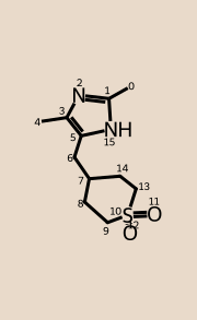 Cc1nc(C)c(CC2CCS(=O)(=O)CC2)[nH]1